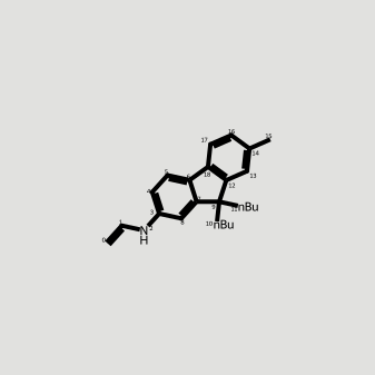 C=CNc1ccc2c(c1)C(CCCC)(CCCC)c1cc(C)ccc1-2